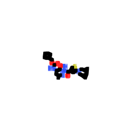 CC(C)C[C@H](NC(=O)OCc1ccccc1)C(=O)NNC(=O)c1csc(N(CC2CC2)CC2CC2)c1